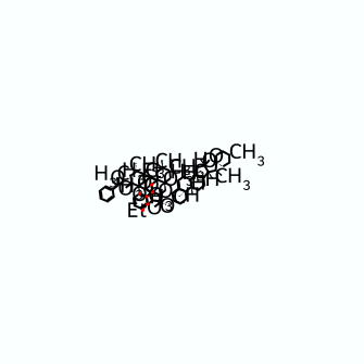 CCC1O[C@@H](O[C@@H]2C(CC)O[C@@H](O[C@H]3CC[C@@]4(C)C(=CC[C@H]5[C@@H]6C[C@@H]7O[C@]8(CC[C@@H](C)CO8)[C@@H](C)[C@@H]7[C@@]6(C)CC[C@@H]54)C3)C(O[C@@H]3OC(C)[C@H](C)[C@H](C)C3OC(=O)c3ccccc3)[C@H]2C)C(OC(=O)c2ccccc2)[C@@H](C)[C@@H]1C